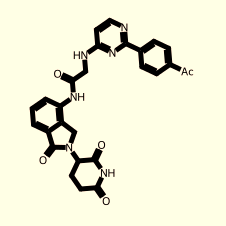 CC(=O)c1ccc(-c2nccc(NCC(=O)Nc3cccc4c3CN(C3CCC(=O)NC3=O)C4=O)n2)cc1